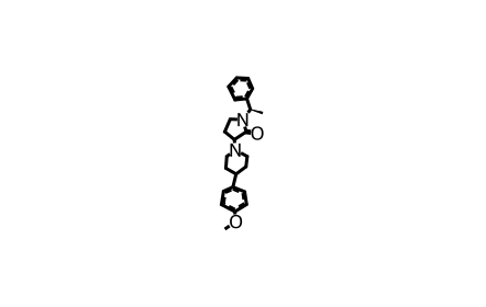 COc1ccc(C2CCN(C3CCN([C@H](C)c4ccccc4)C3=O)CC2)cc1